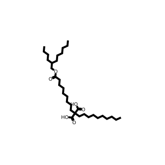 CCCCCCCCCCC(CCCCCCCCC(=O)OCC(CCCC)CCCCCC)(C(=O)O)C(=O)O